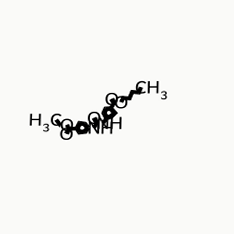 CCCCCOC(=O)c1ccc(NC(=O)Nc2ccc(C(=O)OCC)cc2)cc1